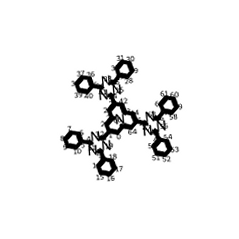 C1=C(c2nc(-c3ccccc3)nc(-c3ccccc3)n2)C=C2C=C(c3nc(-c4ccccc4)nc(-c4ccccc4)n3)C=C3C=C(c4nc(-c5ccccc5)nc(-c5ccccc5)n4)C=C1N23